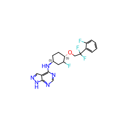 Fc1ccccc1C(F)(F)CO[C@H]1CC[C@H](Nc2ncnc3[nH]ncc23)CC1F